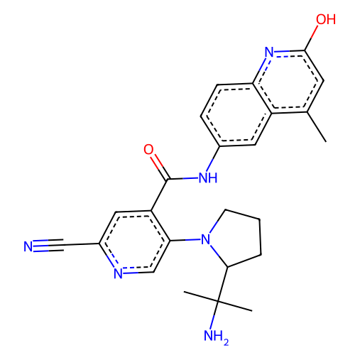 Cc1cc(O)nc2ccc(NC(=O)c3cc(C#N)ncc3N3CCCC3C(C)(C)N)cc12